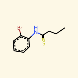 CCCC(=S)Nc1ccccc1Br